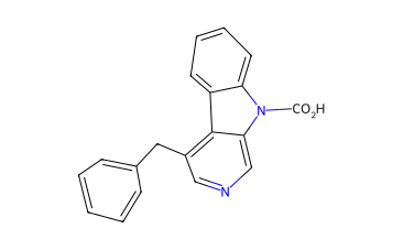 O=C(O)n1c2ccccc2c2c(Cc3ccccc3)cncc21